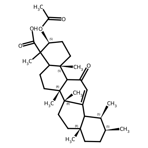 CC(=O)O[C@H]1CC[C@@]2(C)C(CC[C@]3(C)C2C(=O)C=C2C4[C@@H](C)[C@@H](C)CC[C@]4(C)CC[C@@]23C)C1(C)C(=O)O